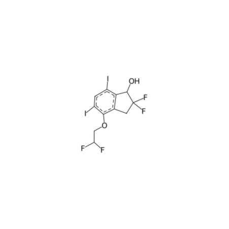 OC1c2c(I)cc(I)c(OCC(F)F)c2CC1(F)F